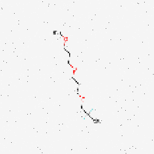 CC(C)(C)OCCCOCCCOCC(F)(F)C(C)(C)C